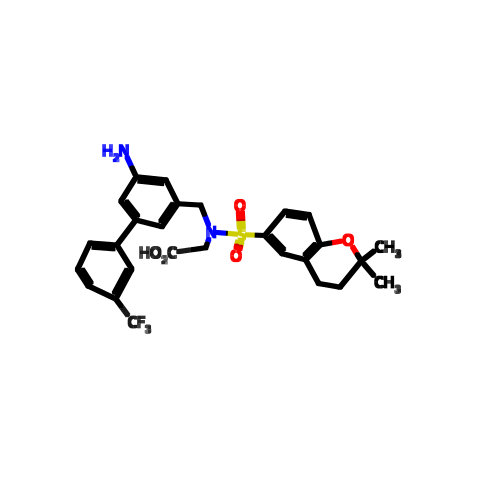 CC1(C)CCc2cc(S(=O)(=O)N(CC(=O)O)Cc3cc(N)cc(-c4cccc(C(F)(F)F)c4)c3)ccc2O1